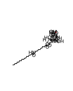 CCCCCCCCCCCCCCCCCC(=O)NCCCCCCCCCCC(=O)OC(=O)CC[C@@H](NC(=O)[C@@H](NCC(C)O[C@H]1[C@H](O)[C@@H](CO)O[C@H](O)[C@@H]1NC(C)=O)[C@@H](C)O)C(N)=O